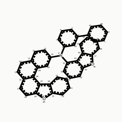 c1ccc(-c2cccc(N(c3ccc4ccc5ccc6oc7ccccc7c6c5c4c3)c3cccc4oc5ccccc5c34)c2)cc1